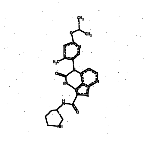 Cc1cc(OC(C)C)ncc1N1C(=O)Nc2c(C(=O)NC3CCCNC3)sc3nccc1c23